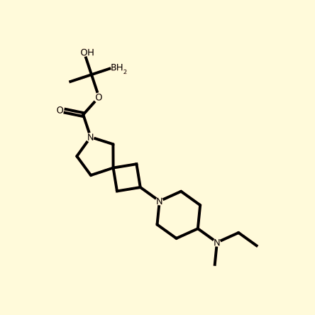 BC(C)(O)OC(=O)N1CCC2(CC(N3CCC(N(C)CC)CC3)C2)C1